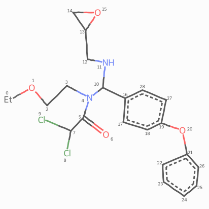 CCOCCN(C(=O)C(Cl)Cl)C(NCC1CO1)c1ccc(Oc2ccccc2)cc1